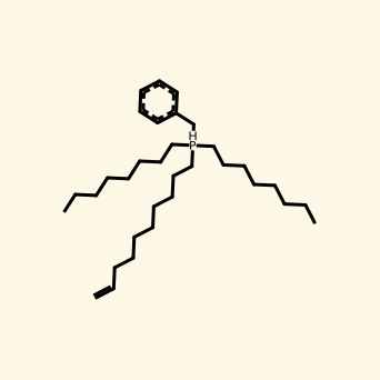 C=CCCCCCCCC[PH](CCCCCCCC)(CCCCCCCC)Cc1ccccc1